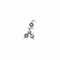 O=C(Nc1ccc(OC(F)(F)F)cc1)N1CC(c2ncc(F)cn2)C(c2ccc(F)cc2)=N1